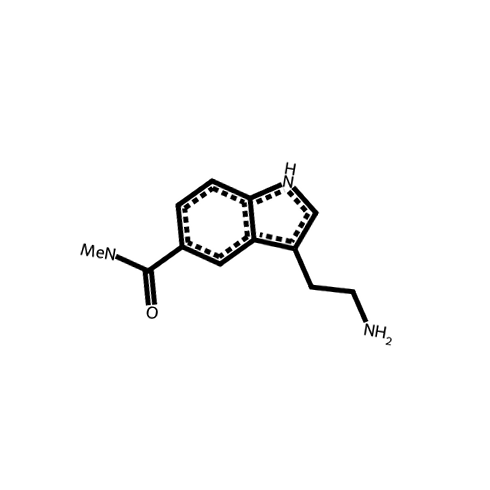 CNC(=O)c1ccc2[nH]cc(CCN)c2c1